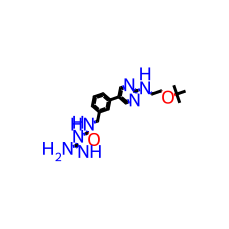 CC(C)(C)OCCNc1ncc(-c2cccc(CNC(=O)NC(=N)N)c2)cn1